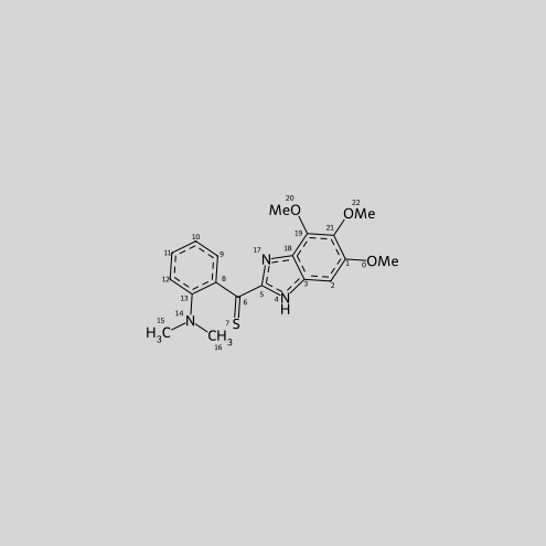 COc1cc2[nH]c(C(=S)c3ccccc3N(C)C)nc2c(OC)c1OC